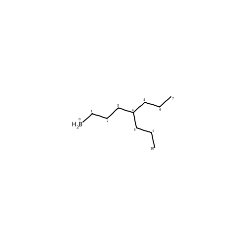 BCCCC(CCC)CCC